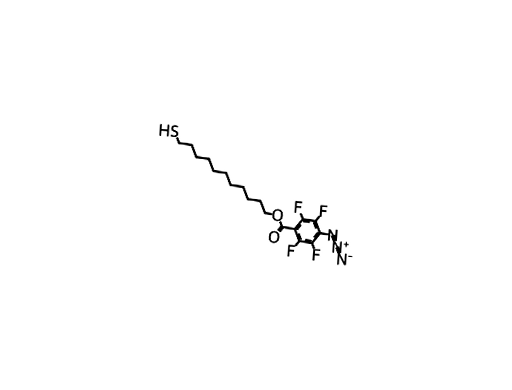 [N-]=[N+]=Nc1c(F)c(F)c(C(=O)OCCCCCCCCCCCS)c(F)c1F